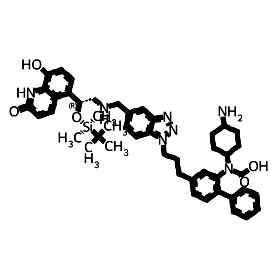 CC(C)(C)[Si](C)(C)O[C@@H](CNCc1ccc2c(c1)nnn2CCCc1ccc(-c2ccccc2)c(N(C(=O)O)C2CCC(N)CC2)c1)c1ccc(O)c2[nH]c(=O)ccc12